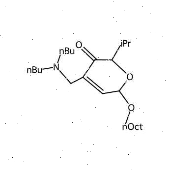 CCCCCCCCOC1C=C(CN(CCCC)CCCC)C(=O)C(C(C)C)O1